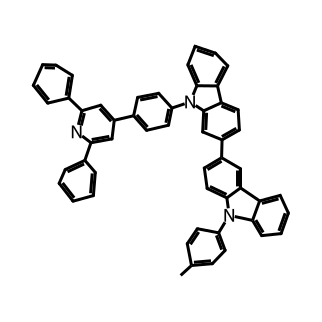 Cc1ccc(-n2c3ccccc3c3cc(-c4ccc5c6ccccc6n(-c6ccc(-c7cc(-c8ccccc8)nc(-c8ccccc8)c7)cc6)c5c4)ccc32)cc1